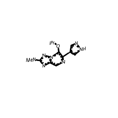 CNc1nc2cnc(-c3cn[nH]c3)c(OC(C)C)n2n1